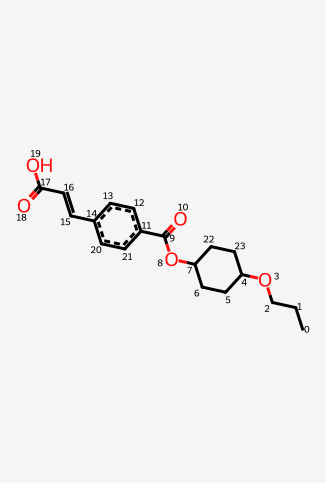 CCCOC1CCC(OC(=O)c2ccc(C=CC(=O)O)cc2)CC1